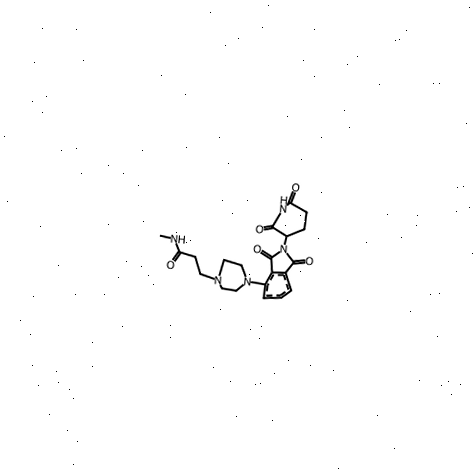 CNC(=O)CCN1CCN(c2cccc3c2C(=O)N(C2CCC(=O)NC2=O)C3=O)CC1